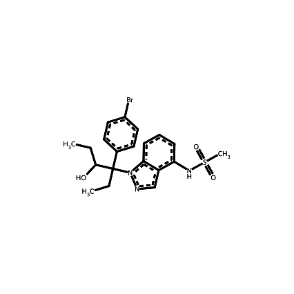 CCC(O)C(CC)(c1ccc(Br)cc1)n1ncc2c(NS(C)(=O)=O)cccc21